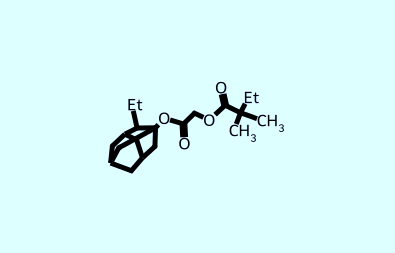 CCC1C2CC3CC(C2)CC1(OC(=O)COC(=O)C(C)(C)CC)C3